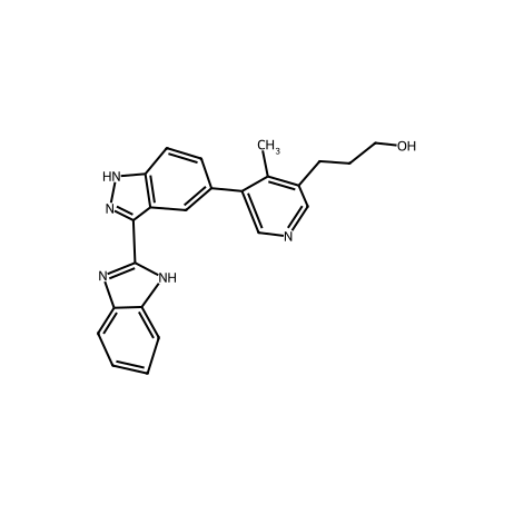 Cc1c(CCCO)cncc1-c1ccc2[nH]nc(-c3nc4ccccc4[nH]3)c2c1